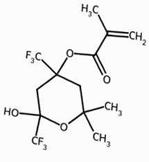 C=C(C)C(=O)OC1(C(F)(F)F)CC(C)(C)OC(O)(C(F)(F)F)C1